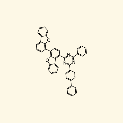 c1ccc(-c2ccc(-c3nc(-c4ccccc4)nc(-c4ccc(-c5cccc6c5oc5ccccc56)c5oc6ccccc6c45)n3)cc2)cc1